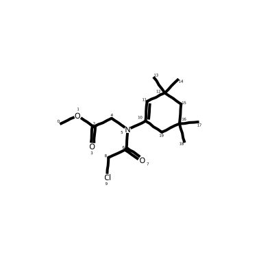 COC(=O)CN(C(=O)CCl)C1=CC(C)(C)CC(C)(C)C1